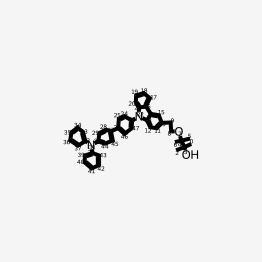 CC(C)(O)C(C)(C)OCCc1ccc2c(c1)c1ccccc1n2-c1ccc(-c2ccc(N(c3ccccc3)c3ccccc3)cc2)cc1